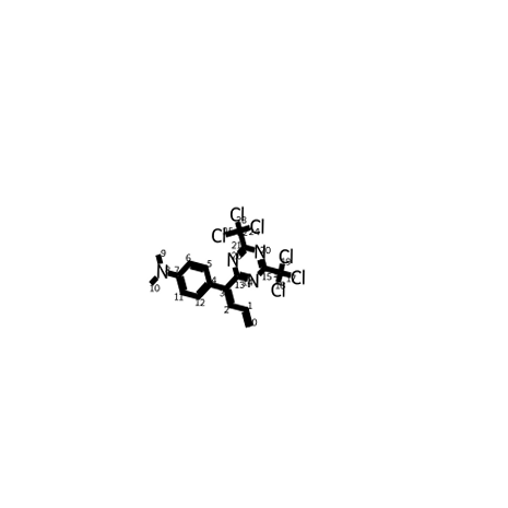 C=CC=C(c1ccc(N(C)C)cc1)c1nc(C(Cl)(Cl)Cl)nc(C(Cl)(Cl)Cl)n1